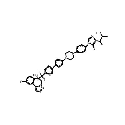 CC(O)C(C)n1ncn(-c2ccc(N3CCN(c4ccc(-c5ccc(C(F)(F)[C@]6(O)Cn7nnnc7-c7cc(F)ccc76)nc5)cc4)CC3)cc2)c1=O